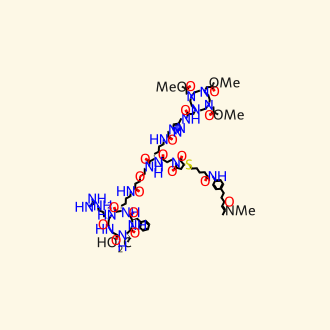 CN/C(C)=C\C(=O)CCc1ccc(NC(=O)CCCCSC2CC(=O)N(CCC(=O)N[C@@H](CCCCNC(=O)Cn3cc(CNC(=O)CN4CCN(CC(=O)OC)CCN(CC(=O)OC)CCN(CC(=O)OC)CC4)nn3)C(=O)NCCOCCC(=O)NCCCC[C@@H]3NC(=O)[C@@H](Cc4ccccc4)NC(=O)[C@H](CC(=O)O)NC(=O)CNC(=O)[C@H](CCCNC(=N)N)NC3=O)C2=O)cc1